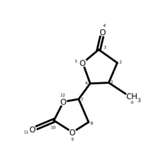 CC1CC(=O)OC1C1COC(=O)O1